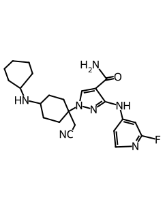 N#CCC1(n2cc(C(N)=O)c(Nc3ccnc(F)c3)n2)CCC(NC2CCCCC2)CC1